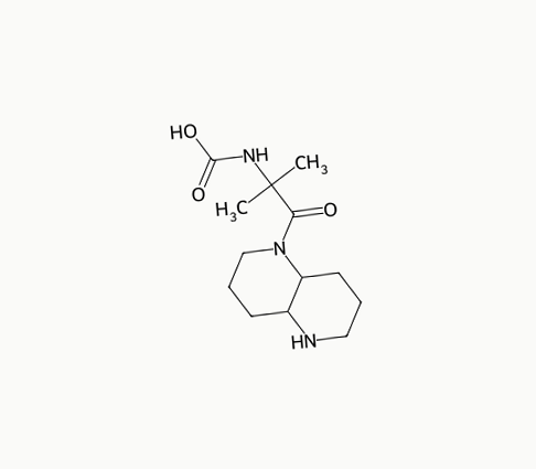 CC(C)(NC(=O)O)C(=O)N1CCCC2NCCCC21